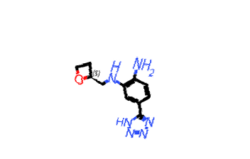 Nc1ccc(-c2nnn[nH]2)cc1NC[C@@H]1CCO1